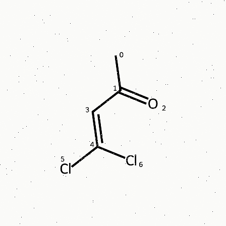 CC(=O)C=C(Cl)Cl